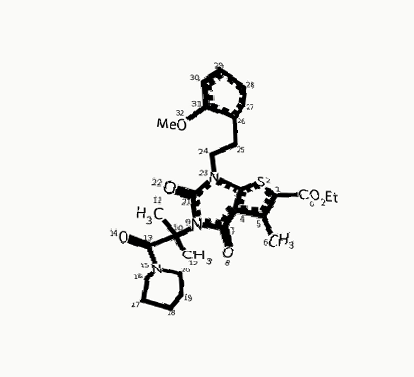 CCOC(=O)c1sc2c(c1C)c(=O)n(C(C)(C)C(=O)N1CCCCC1)c(=O)n2CCc1ccccc1OC